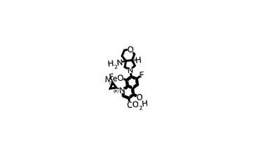 COc1c(N2C[C@@H]3COCC[C@@]3(N)C2)c(F)cc2c(=O)c(C(=O)O)cn([C@@H]3C[C@@H]3F)c12